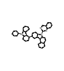 c1ccc(-n2c3ccccc3c3c(-c4ccc5c(c4)c4c6ccccc6ccc4n5-c4ncc5ccccc5n4)cccc32)cc1